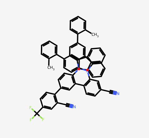 Cc1ccccc1-c1ccc2c(c1)c1ccccc1n2-c1ccc(-c2ccc(C(F)(F)F)cc2C#N)cc1-c1ccc(C#N)cc1-n1c2ccccc2c2cc(-c3ccccc3C)ccc21